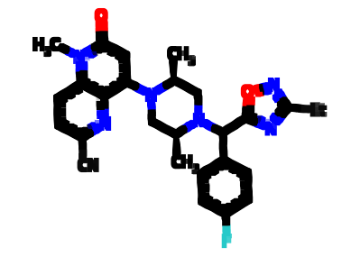 CCc1noc(C(c2ccc(F)cc2)N2C[C@H](C)N(c3cc(=O)n(C)c4ccc(C#N)nc34)C[C@@H]2C)n1